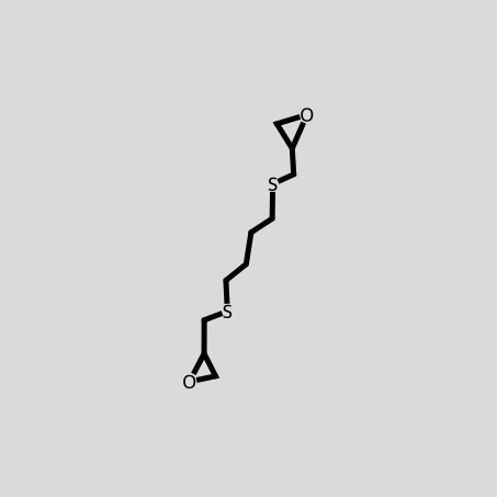 C(CCSCC1CO1)CSCC1CO1